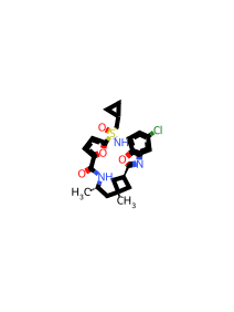 C[C@@H](C[C@]1(C)C[C@H](c2nc3cc(Cl)ccc3o2)C1)NC(=O)c1ccc(S(=N)(=O)CC2CC2)o1